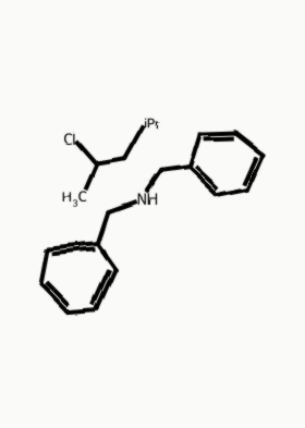 CC(C)CC(C)Cl.c1ccc(CNCc2ccccc2)cc1